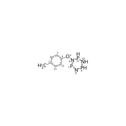 Cc1ccc(On2pn[pH][nH][pH]2)cc1